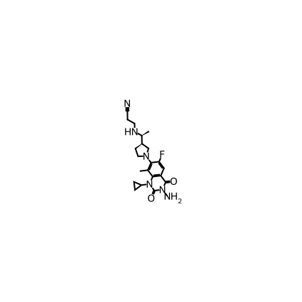 Cc1c(N2CC[C@@H]([C@H](C)NCCC#N)C2)c(F)cc2c(=O)n(N)c(=O)n(C3CC3)c12